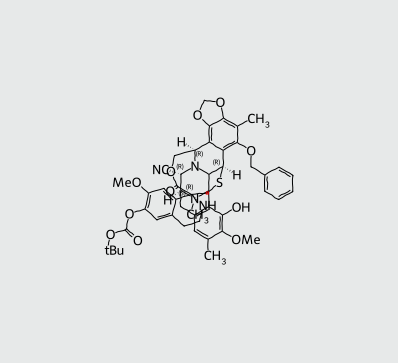 COc1cc2c(cc1OC(=O)OC(C)(C)C)CCN[C@]21CS[C@@H]2c3c(OCc4ccccc4)c(C)c4c(c3[C@H](COC1=O)N1C2C2c3c(cc(C)c(OC)c3O)C[C@@H]([C@@H]1C#N)N2C)OCO4